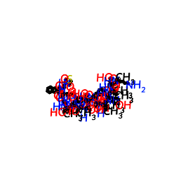 CC[C@H](C)[C@H](NC(=O)[C@H](CO)NC(=O)[C@H](Cc1ccc(O)cc1)NC(=O)[C@H](CC(=O)O)NC(=O)[C@H](CO)NC(=O)[C@@H](NC(=O)[C@H](Cc1ccccc1)NC(=O)[C@@H](NC(=O)CNC(=O)[C@H](CCC(=O)O)NC(O)C1(C(=O)NCCN2C(=O)CSC2=O)Cc2ccccc2C1)[C@@H](C)O)[C@@H](C)O)C(=O)N[C@@H](Cc1ccc(O)cc1)C(=O)N[C@@H](CC(C)C)C(=O)N[C@@H](CC(=O)O)C(=O)N[C@H](C)CCCCN